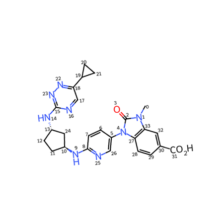 Cn1c(=O)n(-c2ccc(N[C@H]3CC[C@H](Nc4ncc(C5CC5)nn4)C3)nc2)c2ccc(C(=O)O)cc21